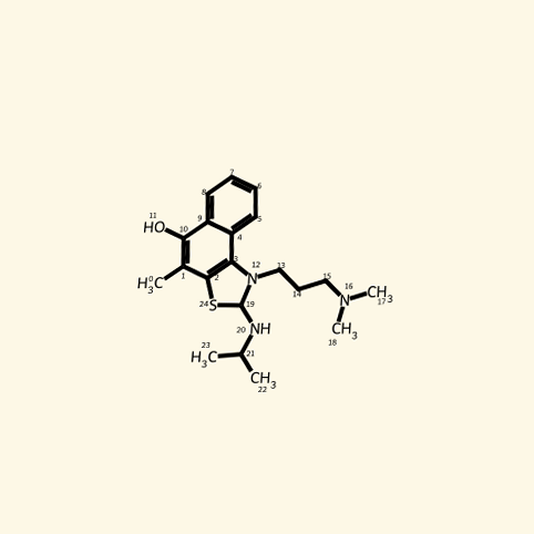 Cc1c2c(c3ccccc3c1O)N(CCCN(C)C)C(NC(C)C)S2